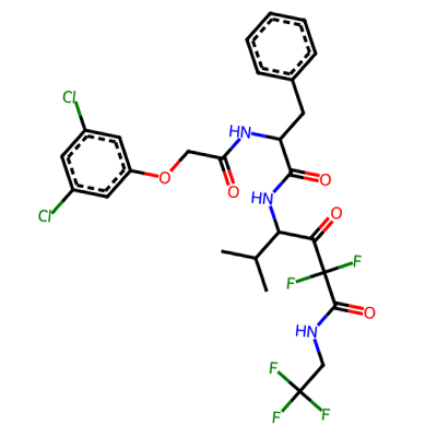 CC(C)C(NC(=O)C(Cc1ccccc1)NC(=O)COc1cc(Cl)cc(Cl)c1)C(=O)C(F)(F)C(=O)NCC(F)(F)F